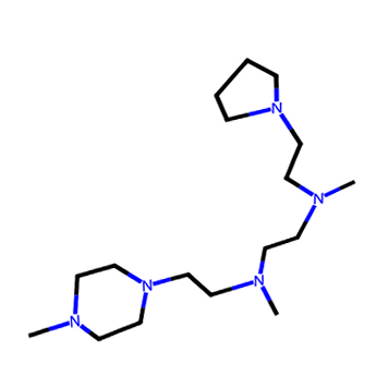 CN(CCN(C)CCN1CCN(C)CC1)CCN1CCCC1